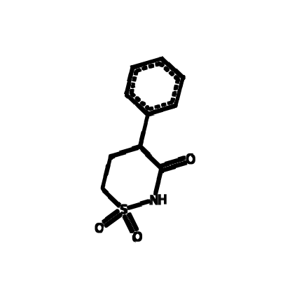 O=C1NS(=O)(=O)CCC1c1ccccc1